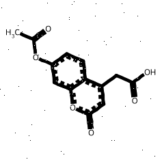 CC(=O)Oc1ccc2c(CC(=O)O)cc(=O)oc2c1